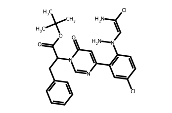 CC(C)(C)OC(=O)C(Cc1ccccc1)n1cnc(-c2cc(Cl)ccc2N(N)/C=C(\N)Cl)cc1=O